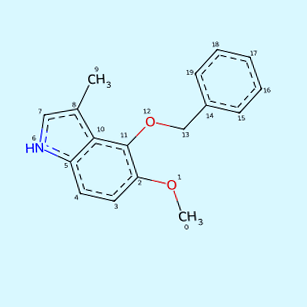 COc1ccc2[nH]cc(C)c2c1OCc1ccccc1